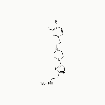 CCCCNCCc1nsc(N2CCN(CCc3ccc(F)c(F)c3)CC2)n1